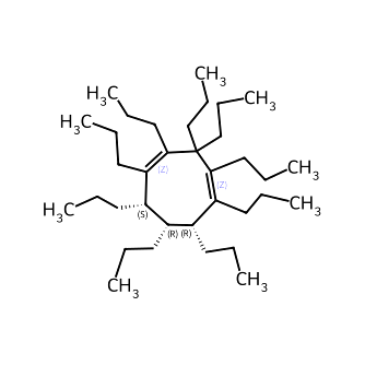 CCC/C1=C(\CCC)C(CCC)(CCC)/C(CCC)=C(/CCC)[C@H](CCC)[C@H](CCC)[C@@H]1CCC